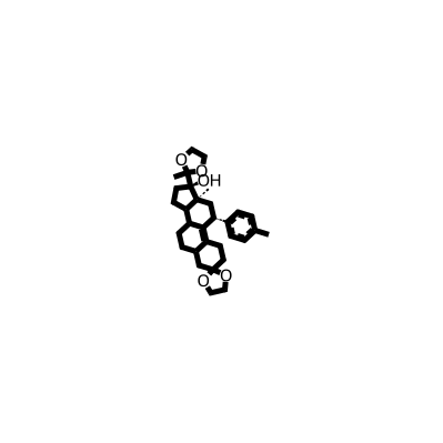 Cc1ccc([C@H]2C[C@@]3(C)C(CC[C@]3(O)C3(C)OCCO3)C3CCC4CC5(CCC4=C32)OCCO5)cc1